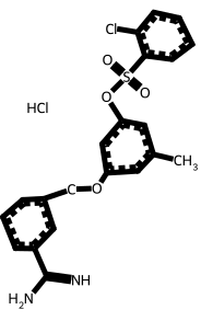 Cc1cc(OCc2cccc(C(=N)N)c2)cc(OS(=O)(=O)c2ccccc2Cl)c1.Cl